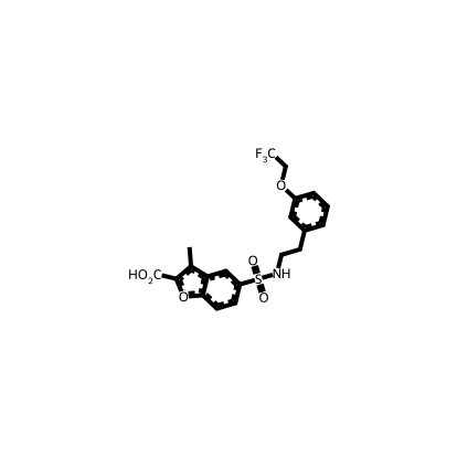 Cc1c(C(=O)O)oc2ccc(S(=O)(=O)NCCc3cccc(OCC(F)(F)F)c3)cc12